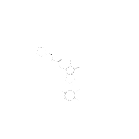 Cn1c(CC(=O)NC[C@H]2CCCO2)c2n(c1=S)C[C@H](c1c(F)ccc(Cl)c1F)C2